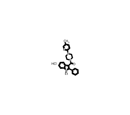 CCn1c(-c2ccccc2)c(C(=O)N2CCN(c3ccc(C)cn3)CC2)c2ccccc21.Cl